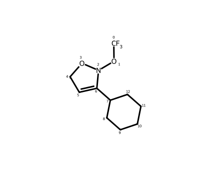 FC(F)(F)ON1O[CH]C=C1C1CCCCC1